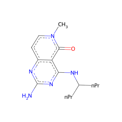 CCCC(CCC)Nc1nc(N)nc2ccn(C)c(=O)c12